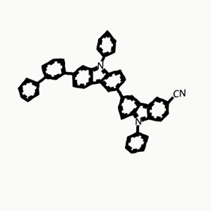 N#Cc1ccc2c(c1)c1cc(-c3ccc4c(c3)c3ccc(-c5cccc(-c6ccccc6)c5)cc3n4-c3ccccc3)ccc1n2-c1ccccc1